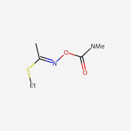 CCSC(C)=NOC(=O)NC